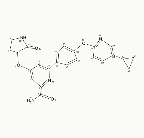 NC(=O)c1cc(OC2CCNC2=O)nc(-c2ccc(Oc3ccc(C4CC4)cn3)cc2)n1